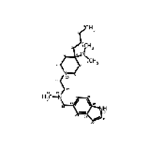 CCCCC1(N(C)C)CCN(CCN(C)Cc2ccc3[nH]ccc3c2)CC1